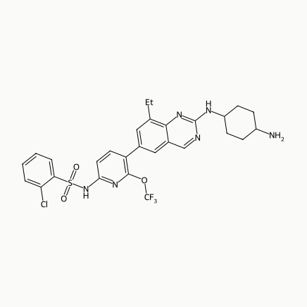 CCc1cc(-c2ccc(NS(=O)(=O)c3ccccc3Cl)nc2OC(F)(F)F)cc2cnc(NC3CCC(N)CC3)nc12